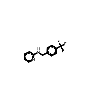 FC(F)(F)c1ccc(CNc2ccccn2)cc1